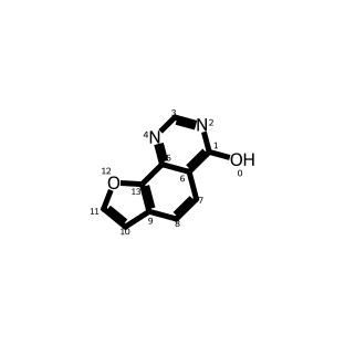 Oc1ncnc2c1ccc1ccoc12